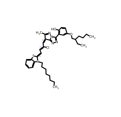 CCCCCCCCN1/C(=C/C=C(Cl)/C=c2/c(C)nn3c(-c4cc(OCC(CC)CCCC)ccc4O)nnc23)Sc2ccccc21